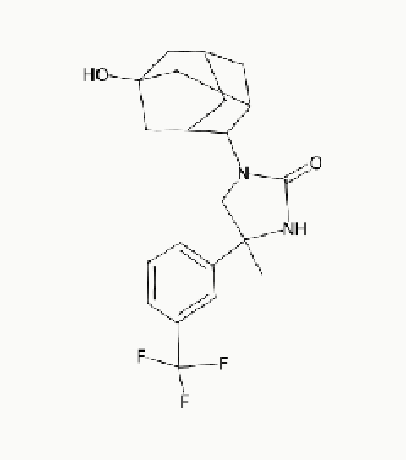 CC1(c2cccc(C(F)(F)F)c2)CN(C2C3CC4CC2CC(O)(C4)C3)C(=O)N1